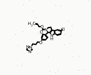 C=CCOC(=O)N1CCc2c([nH]c3ccc(Cl)cc23)C1c1ccc(OCCCn2cncn2)cc1